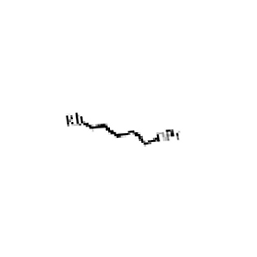 CCCCCCC[CH2][Rb]